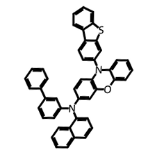 c1ccc(-c2cccc(N(c3ccc4c(c3)Oc3ccccc3N4c3ccc4c(c3)sc3ccccc34)c3cccc4ccccc34)c2)cc1